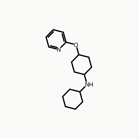 c1ccc(OC2CCC(NC3CCCCC3)CC2)nc1